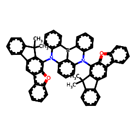 CC1(C)c2ccccc2-c2cc3c(oc4ccccc43)c(N3c4ccccc4B4c5ccccc5N(c5c6c(cc7c5oc5ccccc57)-c5ccccc5C6(C)C)c5cccc3c54)c21